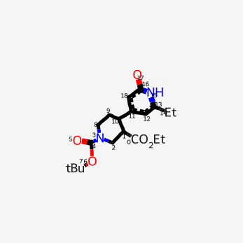 CCOC(=O)C1CN(C(=O)OC(C)(C)C)CCC1c1cc(CC)[nH]c(=O)c1